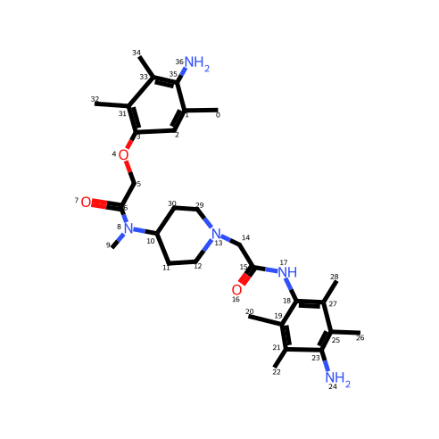 Cc1cc(OCC(=O)N(C)C2CCN(CC(=O)Nc3c(C)c(C)c(N)c(C)c3C)CC2)c(C)c(C)c1N